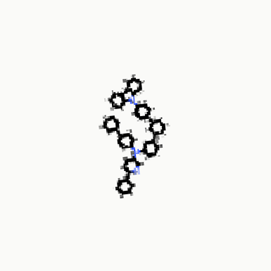 c1ccc(-c2ccc(N(c3ccc(-c4ccccc4)nc3)c3cccc(-c4cccc(-c5ccc(-n6c7ccccc7c7ccccc76)cc5)c4)c3)cc2)cc1